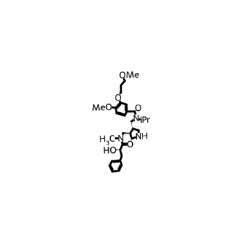 COCCCOc1cc(C(=O)N(C[C@@H]2CNC[C@H]2CN(C)C(=O)[C@@H](O)Cc2ccccc2)C(C)C)ccc1OC